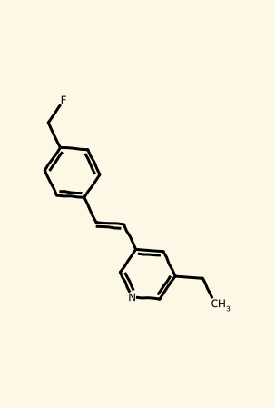 CCc1cncc(/C=C/c2ccc(CF)cc2)c1